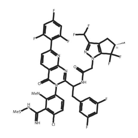 CNc1c(-n2c(C(Cc3cc(F)cc(F)c3)NC(=O)Cn3nc(C(F)F)c4c3C(F)(F)[C@@H](C)C4)nc3nc(-c4c(F)cc(F)cc4F)ccc3c2=O)ccc(Cl)c1C(=N)NSC